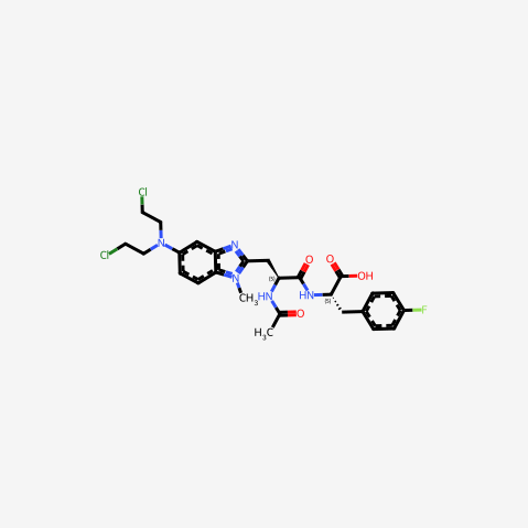 CC(=O)N[C@@H](Cc1nc2cc(N(CCCl)CCCl)ccc2n1C)C(=O)N[C@@H](Cc1ccc(F)cc1)C(=O)O